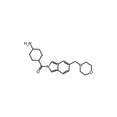 NC1CCC(C(=O)n2cc3ccc(CN4CCOCC4)cc3c2)CC1